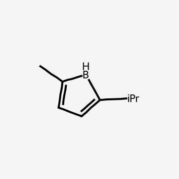 CC1=CC=C(C(C)C)B1